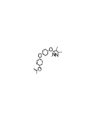 C=C(C)Oc1ccc(Oc2ccc(Oc3c(C)c(C)nn3C)cc2)cc1